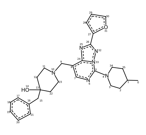 CC1CCN(c2ncc(CN3CCC(O)(Cc4ccccc4)CC3)c3nc(-c4ccco4)nn23)CC1